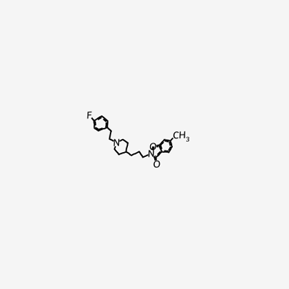 Cc1ccc2c(=O)n(CCCC3CCN(CCc4ccc(F)cc4)CC3)oc2c1